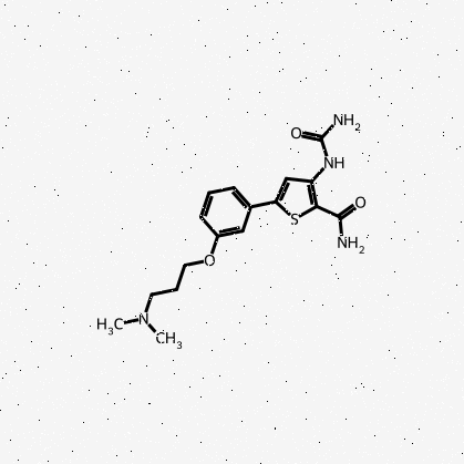 CN(C)CCCOc1cccc(-c2cc(NC(N)=O)c(C(N)=O)s2)c1